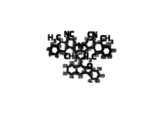 CC12c3ccccc3C(C)(c3ccccc31)c1c2c(C#N)cc2c1c1cc(-c3c4ccccc4cc4c3oc3ccccc34)cc3c4c5c(c(C#N)cc4n2c13)C1(C)c2ccccc2C5(C)c2ccccc21